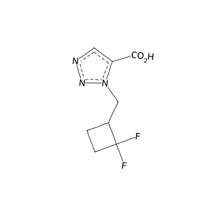 O=C(O)c1cnnn1CC1CCC1(F)F